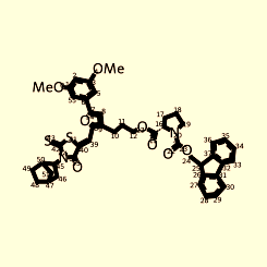 COc1cc(OC)cc(-c2cc(CCCOC(=O)[C@@H]3CCCN3C(=O)OCC3c4ccccc4-c4ccccc43)c(/C=C3\SC(=S)N(C4CC5CCC4C5)C3=O)o2)c1